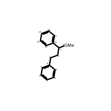 COC(CCc1ccccc1)c1ccccc1